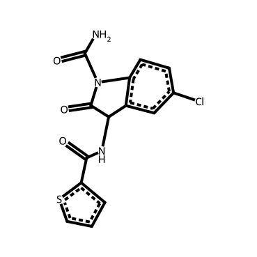 NC(=O)N1C(=O)C(NC(=O)c2cccs2)c2cc(Cl)ccc21